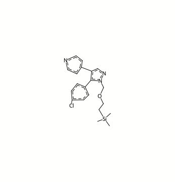 C[Si](C)(C)CCOCn1ncc(-c2ccncc2)c1-c1ccc(Cl)cc1